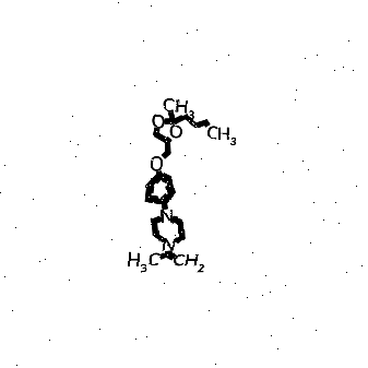 C=C(C)N1CCN(c2ccc(OCC3COC(C)(CCCC)O3)cc2)CC1